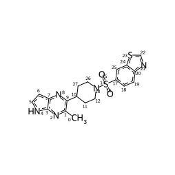 Cc1nc2[nH]ccc2nc1C1CCN(S(=O)(=O)c2ccc3ncsc3c2)CC1